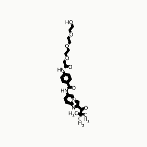 CC(C)(C)C(=O)c1cn2cc(NC(=O)c3ccc(NC(=O)COCCOCCOCCO)cc3)ccc2n1